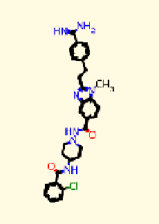 Cn1c(CCc2ccc(C(=N)N)cc2)nc2cc(C(=O)NN3CCC(NC(=O)c4ccccc4Cl)CC3)ccc21